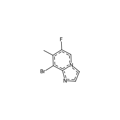 Cc1c(F)cn2ccnc2c1Br